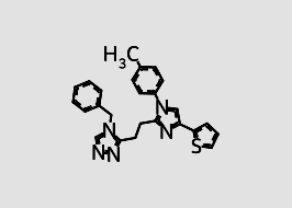 Cc1ccc(-n2cc(-c3cccs3)nc2CCc2nncn2Cc2ccccc2)cc1